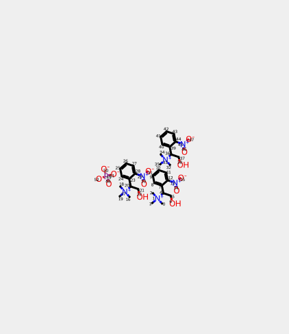 C[N+](C)(C)C(CO)c1ccccc1[N+](=O)[O-].C[N+](C)(C)C(CO)c1ccccc1[N+](=O)[O-].C[N+](C)(C)C(CO)c1ccccc1[N+](=O)[O-].O=P([O-])([O-])[O-]